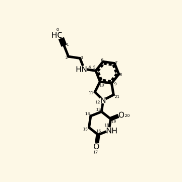 C#CCCNc1cccc2c1CN(C1CCC(=O)NC1=O)C2